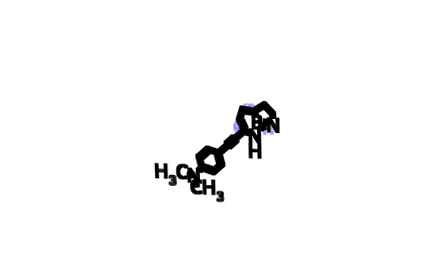 CN(C)c1ccc(C#C/C2=C/C=C(\Br)CC/N=C/N2)cc1